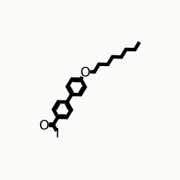 CCCCCCCCOc1ccc(-c2ccc(C(=O)I)cc2)cc1